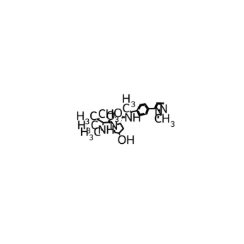 CN[C@H](C(=O)N1C[C@H](O)C[C@H]1C(=O)N[C@@H](C)c1ccc(-c2ccnn2C)cc1)C(C)(C)C